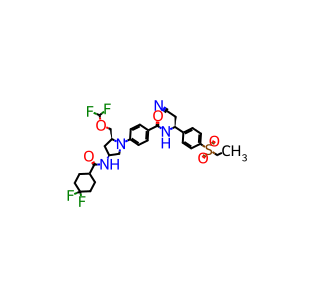 CCS(=O)(=O)c1ccc([C@H](CC#N)NC(=O)c2ccc(N3C[C@@H](NC(=O)C4CCC(F)(F)CC4)C[C@H]3COC(F)F)cc2)cc1